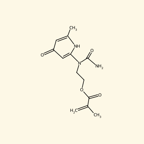 C=C(C)C(=O)OCCN(C(N)=O)c1cc(=O)cc(C)[nH]1